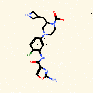 Nc1nc(C(=O)Nc2cc(N3CCN(C(=O)O)C(CC4CNC4)C3)ccc2Cl)co1